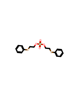 O=S(=O)(OCCSc1ccccc1)OCCSc1ccccc1